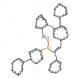 O=S(=O)(O)c1ccccc1-c1cc(C=C(c2ccccc2)[S+]([O-])c2ccc(-c3ccccc3)cc2)ccc1-c1ccccc1